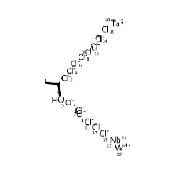 CCO.[Cl-].[Cl-].[Cl-].[Cl-].[Cl-].[Cl-].[Cl-].[Cl-].[Cl-].[Cl-].[Cl-].[Cl-].[Cl-].[Cl-].[Nb+5].[Ta+5].[W+4]